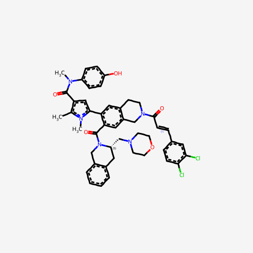 Cc1c(C(=O)N(C)c2ccc(O)cc2)cc(-c2cc3c(cc2C(=O)N2Cc4ccccc4C[C@H]2CN2CCOCC2)CN(C(=O)/C=C/c2ccc(Cl)c(Cl)c2)CC3)n1C